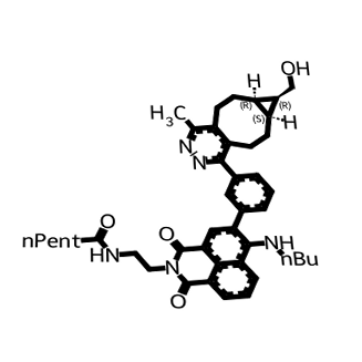 CCCCCC(=O)NCCN1C(=O)c2cccc3c(NCCCC)c(-c4cccc(-c5nnc(C)c6c5CC[C@@H]5[C@H](CO)[C@@H]5CC6)c4)cc(c23)C1=O